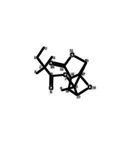 CCC(C)(C)C(=O)OC1(C)C2CC3C(=O)OC1C3O2